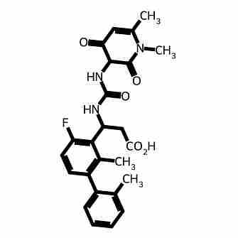 CC1=CC(=O)C(NC(=O)NC(CC(=O)O)c2c(F)ccc(-c3ccccc3C)c2C)C(=O)N1C